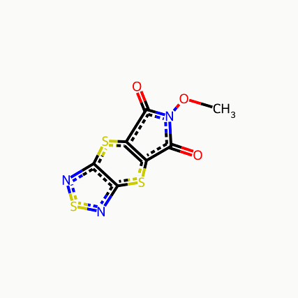 COn1c(=O)c2sc3nsnc3sc=2c1=O